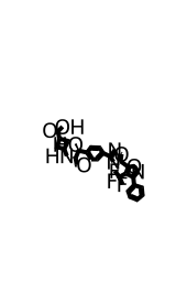 O=C(O)C1CC(N[C@H]2COc3cc(-c4noc(-c5onc(-c6ccccc6)c5C(F)(F)F)n4)ccc3[C@@H]2O)C1